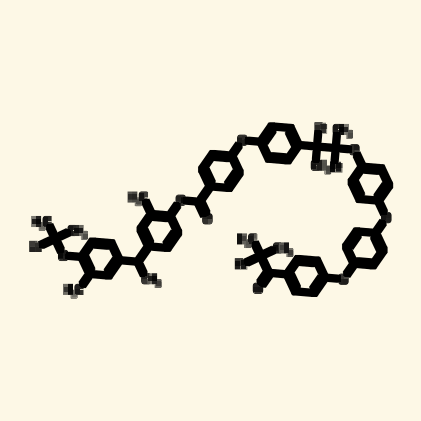 CCC(C)(C)Oc1ccc(C(C)c2ccc(OC(=O)c3ccc(Oc4ccc(C(C)(CC)C(C)(CC)Oc5ccc(Oc6ccc(Oc7ccc(C(=O)C(C)(C)CC)cc7)cc6)cc5)cc4)cc3)c(C)c2)cc1C